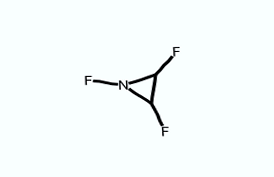 FC1C(F)N1F